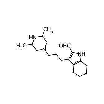 CC1CN(CCCc2c(C=O)[nH]c3c2CCCC3)CC(C)N1